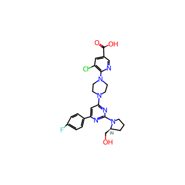 O=C(O)c1cnc(N2CCN(c3cc(-c4ccc(F)cc4)nc(N4CCC[C@H]4CO)n3)CC2)c(Cl)c1